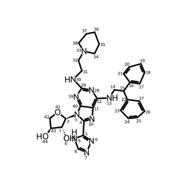 O[C@H]1[C@H](n2c(-c3nnc[nH]3)nc3c(NCC(c4ccccc4)c4ccccc4)nc(NCCN4CCCCC4)nc32)OC[C@@H]1O